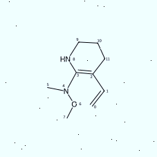 C=CC1=C(N(C)OC)NCCC1